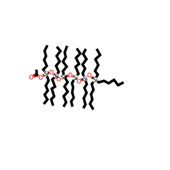 CCCCCC[Si](CCCCCC)(CCCCCC)O[Si](CCCCCC)(CCCCCC)O[Si](CCCCCC)(CCCCCC)O[Si](CCCCCC)(CCCCCC)O[Si](CCCCCC)(CCCCCC)O[Si](CCCCCC)(CCCCCC)OC(C)=O